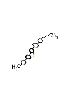 CCCCCCC1CCC(C2CCC(c3ccc(-c4ccc(C5CCC(CC)CC5)cc4)c(F)c3)CC2)CC1